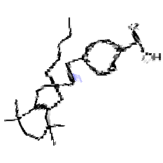 CCCCCC1(/C=C/c2ccc(C(=O)O)cc2)CC2=C(C1)C(C)(C)CCC2(C)C